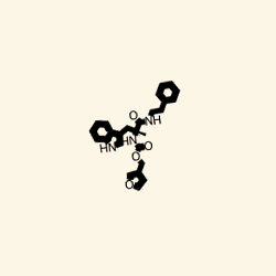 C[C@](Cc1c[nH]c2ccccc12)(NC(=O)OCc1ccoc1)C(=O)NCCc1ccccc1